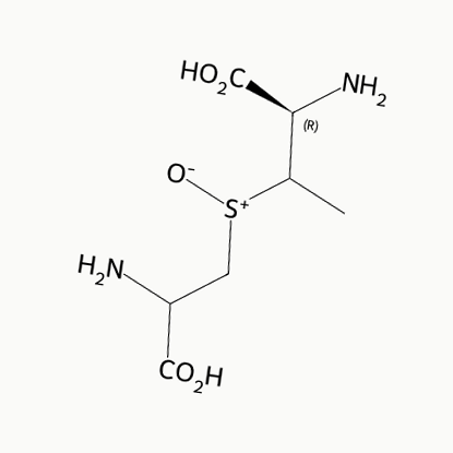 CC([C@H](N)C(=O)O)[S+]([O-])CC(N)C(=O)O